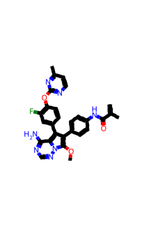 C=C(C)C(=O)Nc1ccc(-c2c(-c3ccc(Oc4nccc(C)n4)c(F)c3)c3c(N)ncnn3c2OC)cc1